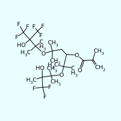 C=C(C)C(=O)OC(CC(C)(C)OC(C)(C)C(O)(C(F)(F)F)C(F)(F)F)C(C)(C)OC(C)(C)C(C)(O)C(F)(F)F